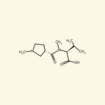 CC(C)[C@@H](C(=O)O)N(C)C(=O)[C@H]1CCN(C)C1